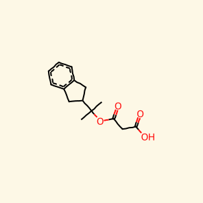 CC(C)(OC(=O)CC(=O)O)C1Cc2ccccc2C1